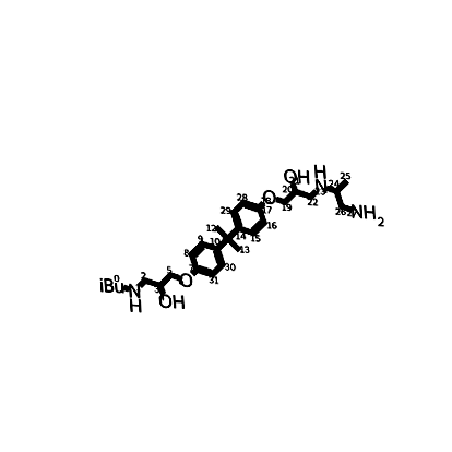 CCC(C)NCC(O)COc1ccc(C(C)(C)c2ccc(OCC(O)CNC(C)CN)cc2)cc1